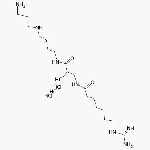 Cl.Cl.Cl.N=C(N)NCCCCCCC(=O)NCC(O)C(=O)NCCCCNCCCN